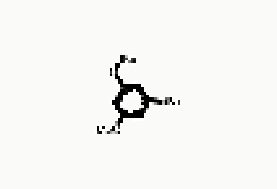 COc1cc(OC(C)(C)C)cc(C(C)(C)C)c1